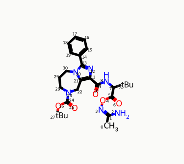 C/C(N)=N/OC(=O)C(NC(=O)c1nc(-c2ccccc2)n2c1CN(C(=O)OC(C)(C)C)CCC2)C(C)(C)C